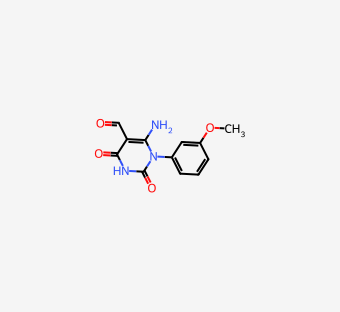 COc1cccc(-n2c(N)c(C=O)c(=O)[nH]c2=O)c1